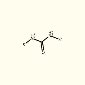 O=C([NH2+][S-])[NH2+][S-]